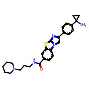 NC1(c2ccc(-c3cn4c(n3)sc3cc(C(=O)NCCCN5CCCCC5)ccc34)cc2)CC1